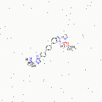 CC(C)(C)OC(=O)N1CCC[C@H]1c1nc2ccc(-c3ccc(-c4ccc(-c5cnc([C@H]6N[C@@H]7CC[C@H]6C7)[nH]5)cc4)cc3)cc2[nH]1